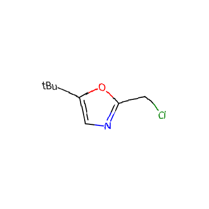 CC(C)(C)c1cnc(CCl)o1